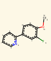 Fc1cc(-c2[c]cccn2)ccc1OC(F)(F)F